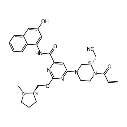 C=CC(=O)N1CCN(c2cc(C(=O)Nc3cc(O)cc4ccccc34)nc(OC[C@H]3CCCN3C)n2)C[C@@H]1CC#N